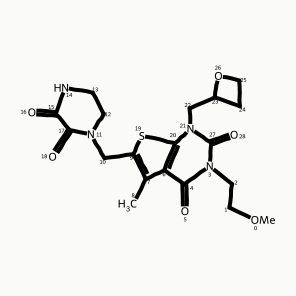 COCCn1c(=O)c2c(C)c(CN3CCNC(=O)C3=O)sc2n(CC2CCO2)c1=O